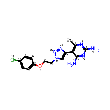 CCc1nc(N)nc(N)c1-c1cn(CCOc2ccc(Cl)cc2)nn1